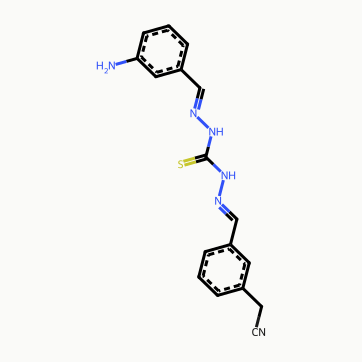 N#CCc1cccc(/C=N/NC(=S)N/N=C/c2cccc(N)c2)c1